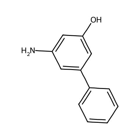 Nc1cc(O)cc(-c2ccccc2)c1